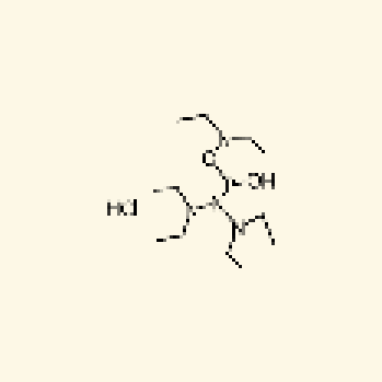 CCN(CC)OP(O)N(N(CC)CC)N(CC)CC.Cl